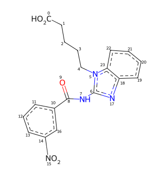 O=C(O)CCCCn1c(NC(=O)c2cccc([N+](=O)[O-])c2)nc2ccccc21